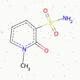 Cn1cccc(S(N)(=O)=O)c1=O